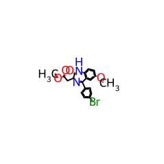 COC(=O)CC1N=C(c2ccc(Br)cc2)c2cc(OC)ccc2NC1=O